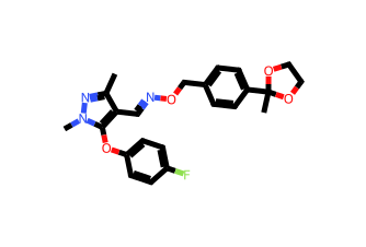 Cc1nn(C)c(Oc2ccc(F)cc2)c1C=NOCc1ccc(C2(C)OCCO2)cc1